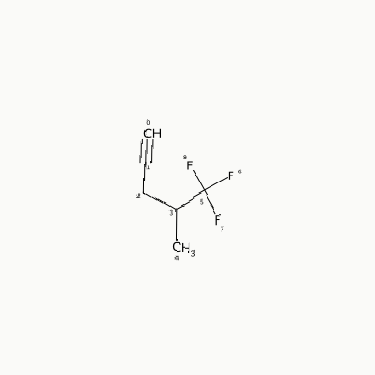 C#CCC(C)C(F)(F)F